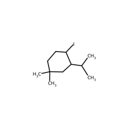 CC(C)C1CC(C)(C)CCC1I